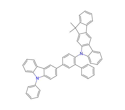 CC1(C)c2ccccc2-c2cc3c4ccccc4n(-c4ccc(-c5ccc6c(c5)c5ccccc5n6-c5ccccc5)cc4-c4ccccc4)c3cc21